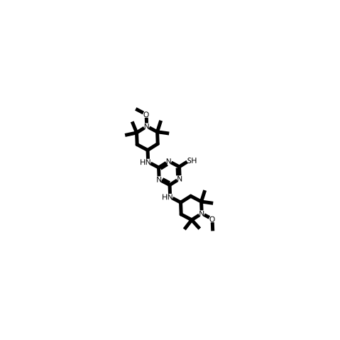 CON1C(C)(C)CC(Nc2nc(S)nc(NC3CC(C)(C)N(OC)C(C)(C)C3)n2)CC1(C)C